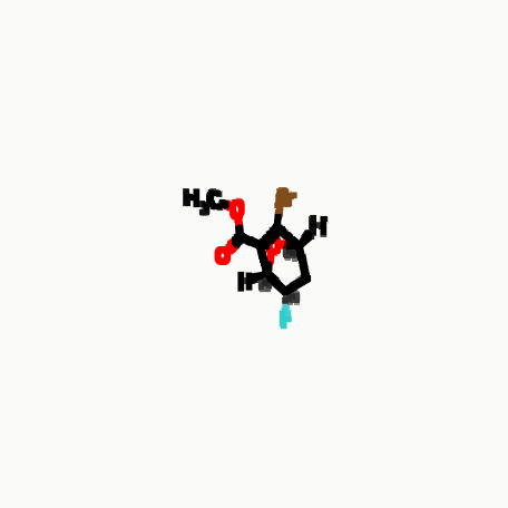 COC(=O)C1=C(Br)[C@@H]2C[C@H](F)[C@H]1O2